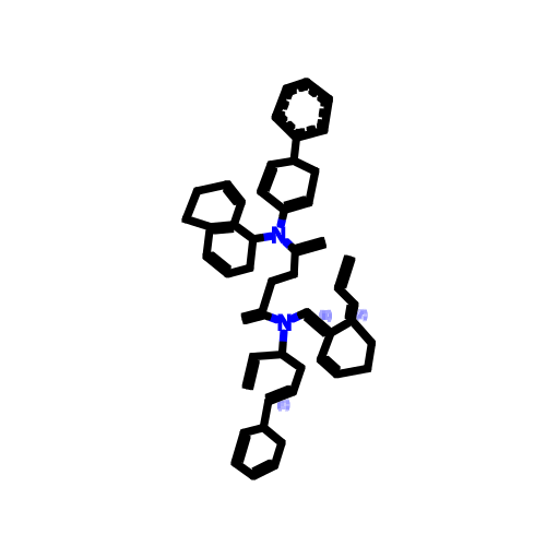 C=C/C=C1/CCC=C/C1=C\N(C(=C)CCC(=C)N(C1=CCC(c2ccccc2)C=C1)C1CC=CC2=C1C=CCC2)C(C=C)C/C=C/C1C=CC=CC1